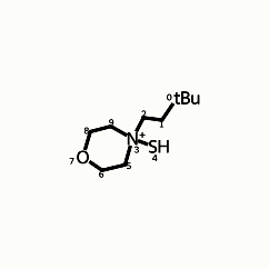 CC(C)(C)CC[N+]1(S)CCOCC1